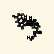 CCOC(=O)c1coc(S(=O)(=O)NC(=O)NC2C3C=CC=C3C=C3C(I)CCC32)c1